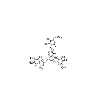 CCC1C(CO)OC(COCC(C(C)CC(OP)OC2OC(C)C(O)C(O)C2O)C(CO)OC(C)COCC2C(C)OC(COC)C(O)C2O)C(O)C1O